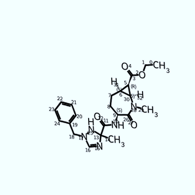 CCOC(=O)[C@@H]1[C@@H]2CC[C@H](NC(=O)C3(C)N=CN(Cc4ccccc4)N3)C(=O)N(C)[C@@H]21